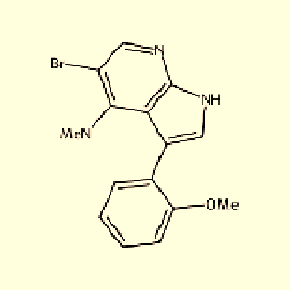 CNc1c(Br)cnc2[nH]cc(-c3ccccc3OC)c12